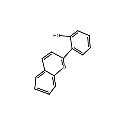 Oc1ccccc1-c1ccc2ccccc2[o+]1